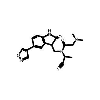 CC(C#N)N(CC1C(=O)Nc2ccc(-c3cnoc3)cc21)C(=O)CN(C)C